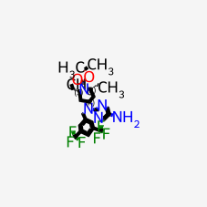 CC[C@@H]1C[C@H](N(Cc2cc(C(F)(F)F)cc(C(F)(F)F)c2)c2ncc(N)cn2)C[C@H](CC)N1C(=O)OC(C)C